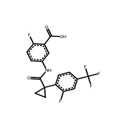 O=C(O)c1cc(NC(=O)C2(c3ccc(C(F)(F)F)cc3F)CC2)ccc1F